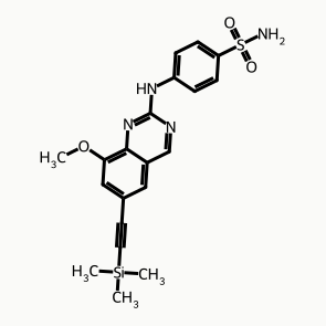 COc1cc(C#C[Si](C)(C)C)cc2cnc(Nc3ccc(S(N)(=O)=O)cc3)nc12